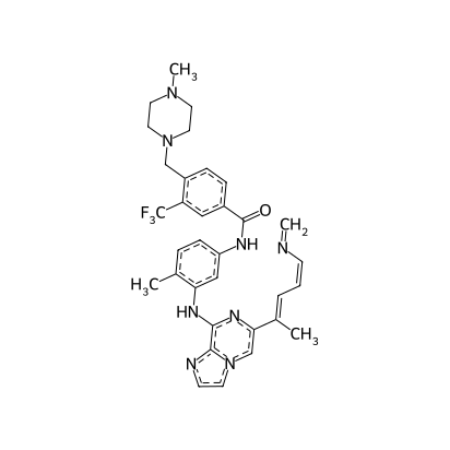 C=N/C=C\C=C(/C)c1cn2ccnc2c(Nc2cc(NC(=O)c3ccc(CN4CCN(C)CC4)c(C(F)(F)F)c3)ccc2C)n1